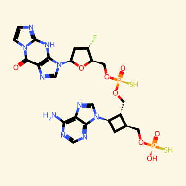 Nc1ncnc2c1ncn2[C@@H]1C[C@H](CO[P@](=O)(O)S)[C@H]1CO[P@](=O)(S)OC[C@H]1O[C@@H](n2cnc3c(=O)n4ccnc4[nH]c32)C[C@@H]1F